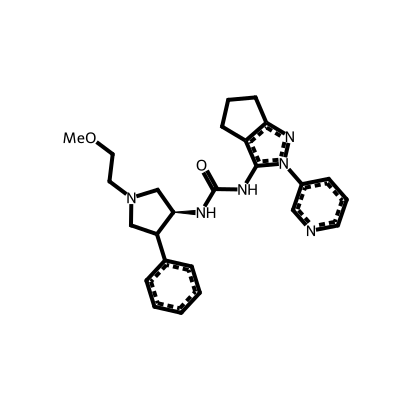 COCCN1CC(c2ccccc2)[C@H](NC(=O)Nc2c3c(nn2-c2cccnc2)CCC3)C1